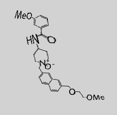 COCCOCc1ccc2ccc(C[N+]3([O-])CCC(NC(=O)c4cccc(OC)c4)CC3)cc2c1